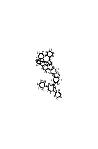 C1=CC(c2ccccc2)=NC(c2ccc3sc4ccc(-c5ccc6c(c5)C5(c7ccccc7-c7ccccc7-c7ccccc75)c5ccccc5-6)cc4c3c2)=NC=1c1ccccc1